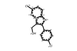 OCc1c(-c2ccc(Cl)cc2)nc2ccc(Cl)nn12